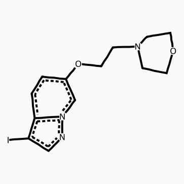 Ic1cnn2cc(OCCN3CCOCC3)ccc12